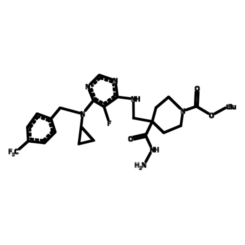 CC(C)(C)OC(=O)N1CCC(CNc2ncnc(N(Cc3ccc(C(F)(F)F)cc3)C3CC3)c2F)(C(=O)NN)CC1